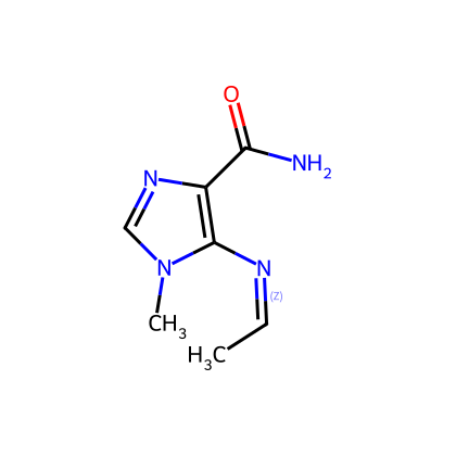 C/C=N\c1c(C(N)=O)ncn1C